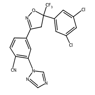 N#Cc1ccc(C2=NOC(c3cc(Cl)cc(Cl)c3)(C(F)(F)F)C2)cc1-n1cncn1